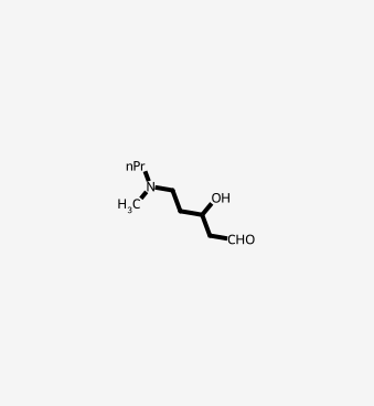 CCCN(C)CCC(O)CC=O